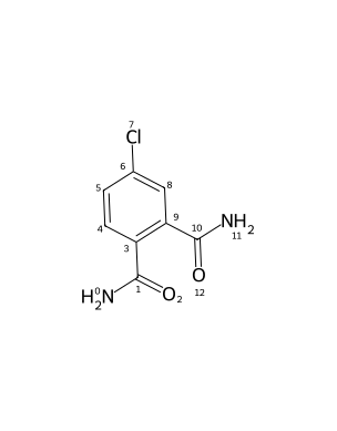 NC(=O)c1ccc(Cl)cc1C(N)=O